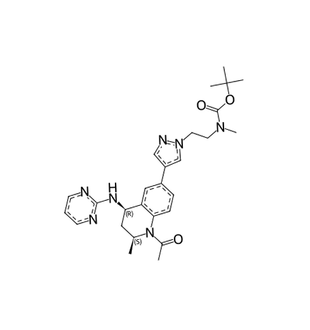 CC(=O)N1c2ccc(-c3cnn(CCN(C)C(=O)OC(C)(C)C)c3)cc2[C@H](Nc2ncccn2)C[C@@H]1C